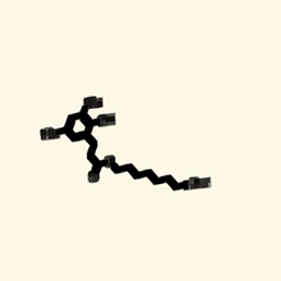 CCCCCCCCCCCCCCCCCOC(=O)CCc1cc(C(C)(C)C)cc(C(C)(C)C)c1O